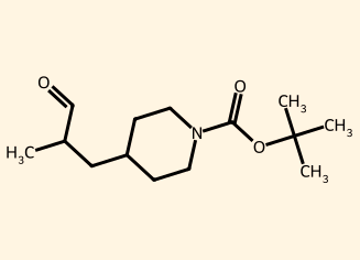 CC(C=O)CC1CCN(C(=O)OC(C)(C)C)CC1